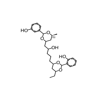 CCC1CC(CCCC(O)CC2C[C@H](C)OC(c3cccc(O)c3)O2)OC(c2ccccc2O)O1